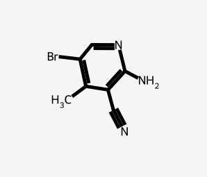 Cc1c(Br)cnc(N)c1C#N